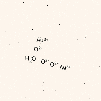 O.[Au+3].[Au+3].[O-2].[O-2].[O-2]